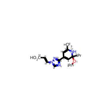 CC(C)OC1(C(C)C)C=C(c2ncn(C=CC(=O)O)n2)C=C(C(F)(F)F)N1